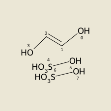 O/C=C/O.O=S(=O)(O)O.O=S(=O)(O)O